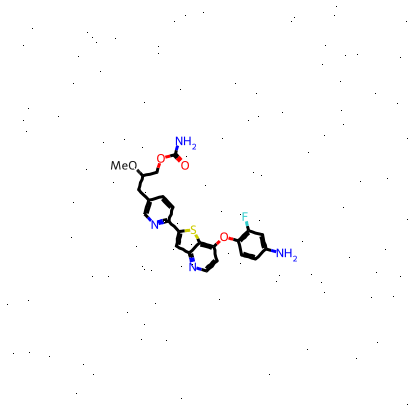 COC(COC(N)=O)Cc1ccc(-c2cc3nccc(Oc4ccc(N)cc4F)c3s2)nc1